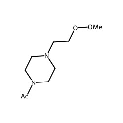 COOCCN1CCN(C(C)=O)CC1